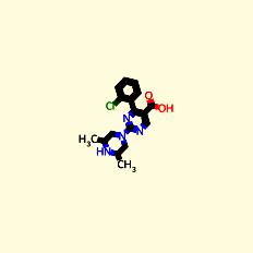 CC1CN(c2ncc(C(=O)O)c(-c3ccccc3Cl)n2)CC(C)N1